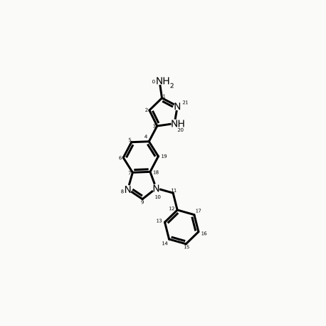 Nc1cc(-c2ccc3ncn(Cc4ccccc4)c3c2)[nH]n1